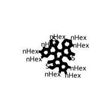 CCCCCCc1cc2c(c(CCCCCC)c1CCCCCC)c1cscc1c1c2c2c3cscc3c3c(CCCCCC)c(CCCCCC)c(CCCCCC)cc3c2c2c3cscc3c3c(CCCCCC)c(CCCCCC)c(CCCCCC)cc3c12